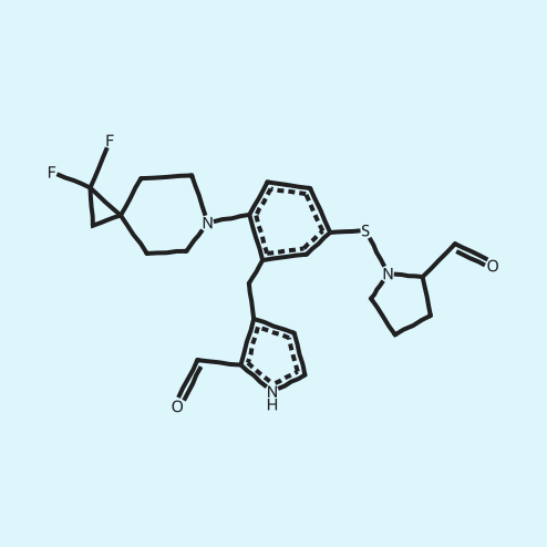 O=Cc1[nH]ccc1Cc1cc(SN2CCCC2C=O)ccc1N1CCC2(CC1)CC2(F)F